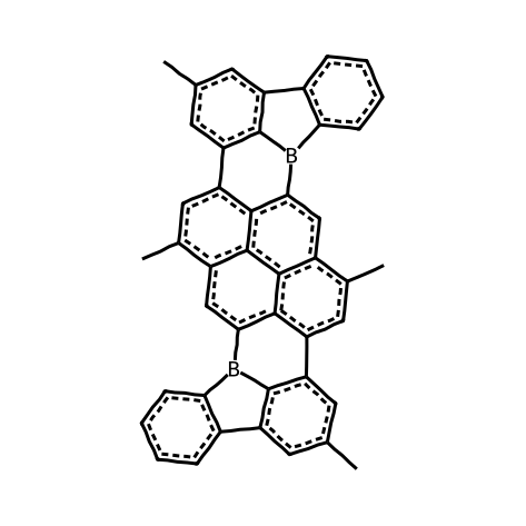 Cc1cc2c3c(c1)-c1cc(C)c4cc5c6c(cc(C)c7cc(c1c4c76)B3c1ccccc1-2)-c1cc(C)cc2c1B5c1ccccc1-2